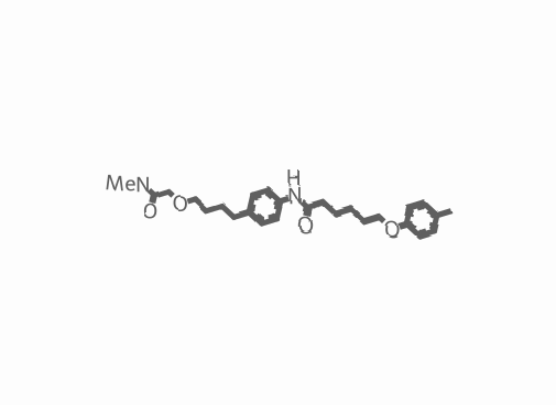 CNC(=O)COCCCCc1ccc(NC(=O)CCCCCOc2ccc(C)cc2)cc1